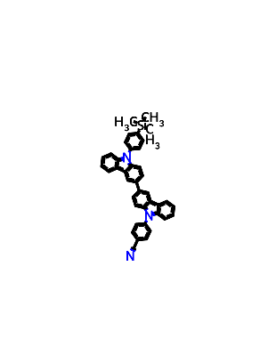 C[Si](C)(C)c1ccc(-n2c3ccccc3c3cc(-c4ccc5c(c4)c4ccccc4n5-c4ccc(C#N)cc4)ccc32)cc1